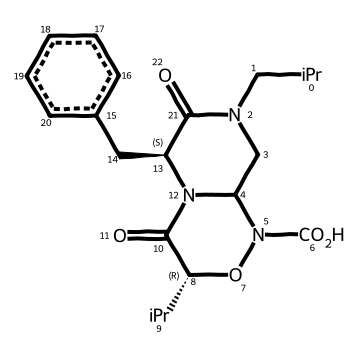 CC(C)CN1CC2N(C(=O)O)O[C@H](C(C)C)C(=O)N2[C@@H](Cc2ccccc2)C1=O